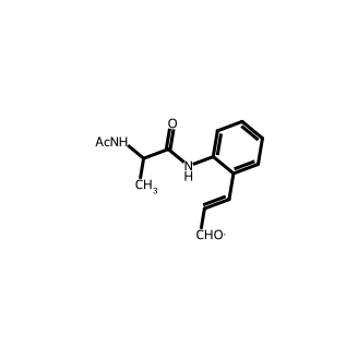 CC(=O)NC(C)C(=O)Nc1ccccc1/C=C/[C]=O